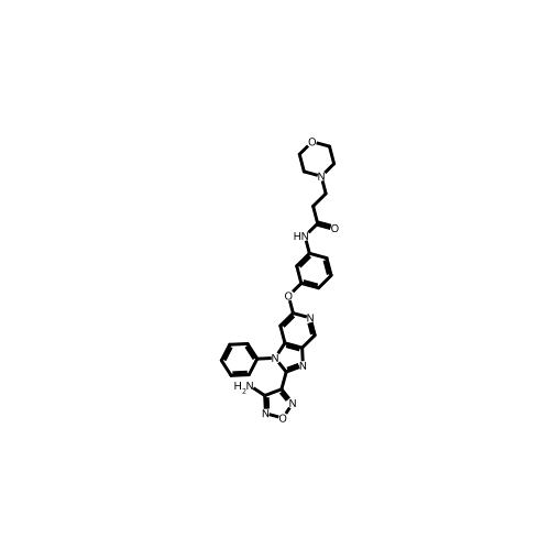 Nc1nonc1-c1nc2cnc(Oc3cccc(NC(=O)CCN4CCOCC4)c3)cc2n1-c1ccccc1